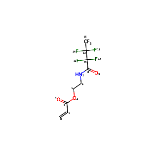 C=CC(=O)OCCNC(=O)C(F)(F)C(F)(F)C(F)(F)F